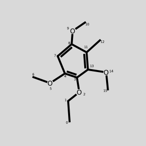 CCOc1c(OC)cc(OC)c(C)c1OC